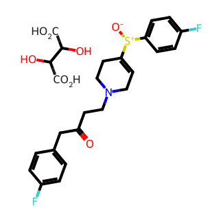 O=C(CCN1CC=C([S+]([O-])c2ccc(F)cc2)CC1)Cc1ccc(F)cc1.O=C(O)C(O)C(O)C(=O)O